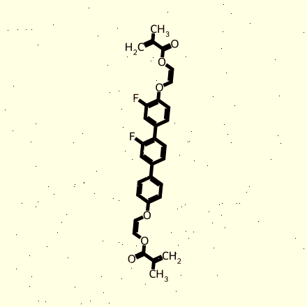 C=C(C)C(=O)O/C=C\Oc1ccc(-c2ccc(-c3ccc(O/C=C\OC(=O)C(=C)C)c(F)c3)c(F)c2)cc1